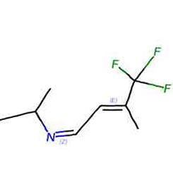 C/C(=C\C=N/C(C)C)C(F)(F)F